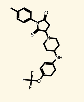 Cc1ccc(N2C(=O)CC(N3CCC(NC4=CC=C(OC(F)(F)F)CC4)CC3)C2=S)cc1